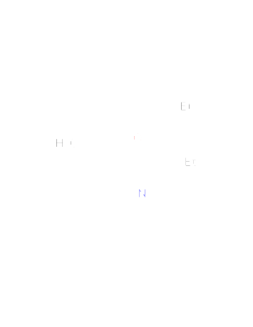 CCC(CC)Oc1ncccc1C